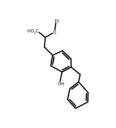 CCOC(Cc1ccc(Cc2ccccc2)c(O)c1)C(=O)O